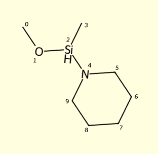 CO[SiH](C)N1CCCCC1